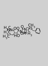 CNC(=O)[C@H](CC(C)C)[C@H](O)C(=O)N(O)C(=O)NCC(C)(C)SCc1ccccc1